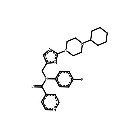 O=C(c1ccnnc1)N(Cc1csc(N2CCN(C3CCCCC3)CC2)n1)c1ccc(F)cc1